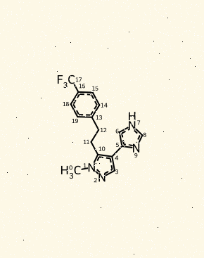 Cn1ncc(-c2c[nH]cn2)c1CCc1ccc(C(F)(F)F)cc1